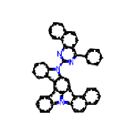 c1ccc(-c2nc(-n3c4ccccc4c4c5c6ccccc6n6c7ccc8ccccc8c7c(cc43)c56)nc3c2ccc2ccccc23)cc1